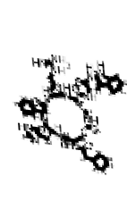 N=C(N)NCCC[C@@H]1NC(=O)C(c2ccccc2)NC(=O)[C@H](Cc2c[nH]cn2)NC(=O)[C@@H](NC(=O)CC2CCCCC2)CCC(=O)NCC[C@@H](C(=O)N[C@@H](Cc2c[nH]c3ccccc23)C(N)=O)NC1=O